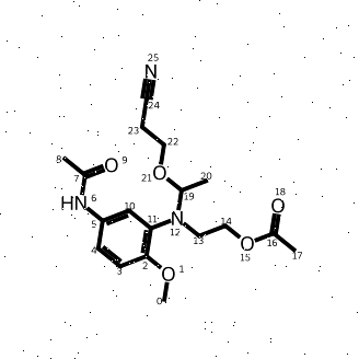 COc1ccc(NC(C)=O)cc1N(CCOC(C)=O)C(C)OCCC#N